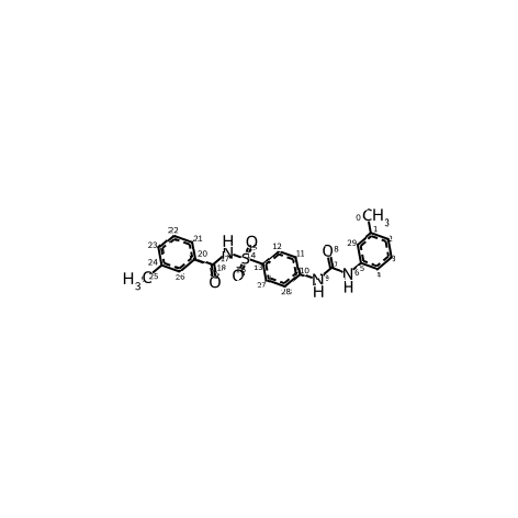 Cc1cccc(NC(=O)Nc2ccc(S(=O)(=O)NC(=O)c3cccc(C)c3)cc2)c1